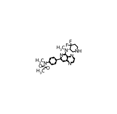 CN(c1nc(-c2ccc(N(C)S(C)(=O)=O)cc2)cc2nccnc12)[C@H]1CNCCC1(F)F